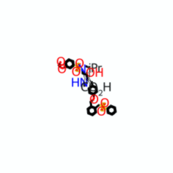 CC(C)CN(C[C@H](O)[C@H](Cc1ccc(OCc2ccccc2CS(=O)(=O)c2ccccc2)cc1)NC(=O)O)S(=O)(=O)c1ccc2c(c1)OCO2